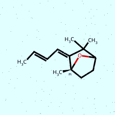 CC=CC=C1C(C)(C)C2CC[C@@]1(C)O2